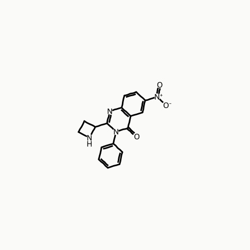 O=c1c2cc([N+](=O)[O-])ccc2nc(C2CCN2)n1-c1ccccc1